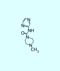 CN1CCN(C(=O)Nc2cnccn2)CC1